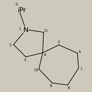 CC(C)N1CCC2(CCCCCC2)C1